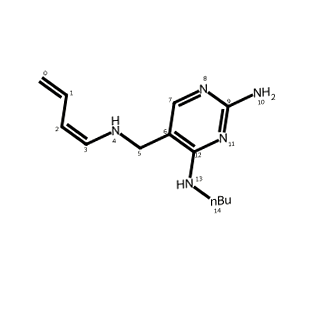 C=C/C=C\NCc1cnc(N)nc1NCCCC